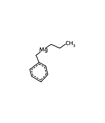 CC[CH2][Mg][CH2]c1ccccc1